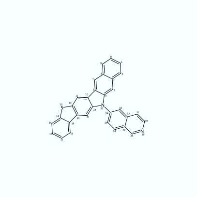 c1ccc2cc3c(cc2c1)c1cc2sc4ccccc4c2cc1n3-c1ccc2cnccc2c1